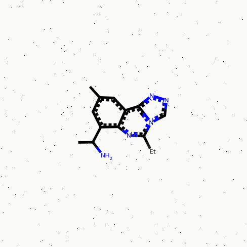 CCc1nc2c(C(C)N)cc(C)cc2c2nncn12